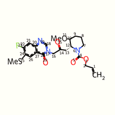 C=CCOC(=O)N1CCC[C@H](OC)[C@H]1CC(=O)Cn1cnc2cc(F)c(SC)cc2c1=O